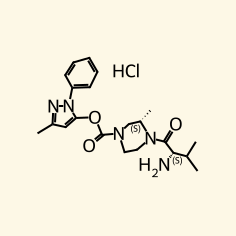 Cc1cc(OC(=O)N2CCN(C(=O)[C@@H](N)C(C)C)[C@@H](C)C2)n(-c2ccccc2)n1.Cl